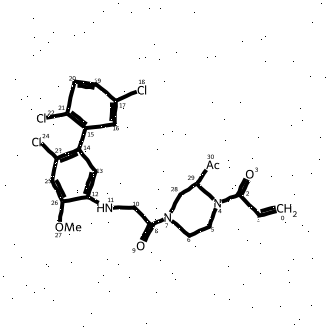 C=CC(=O)N1CCN(C(=O)CNc2cc(-c3cc(Cl)ccc3Cl)c(Cl)cc2OC)CC1C(C)=O